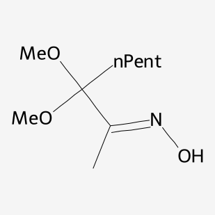 CCCCCC(OC)(OC)C(C)=NO